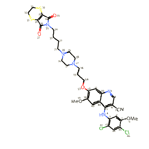 COc1cc(Nc2c(C#N)cnc3cc(OCCCN4CCN(CCCCN5C(=O)C6=C(SCCS6)C5=O)CC4)c(OC)cc23)c(Cl)cc1Cl